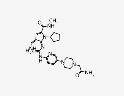 C=C(/N=C1\C(=C/N)C=C(C(=O)NC)N1C1CCCC1)Nc1ccc(N2CCN(CC(N)=O)CC2)cn1